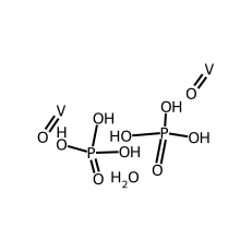 O.O=P(O)(O)O.O=P(O)(O)O.[O]=[V].[O]=[V]